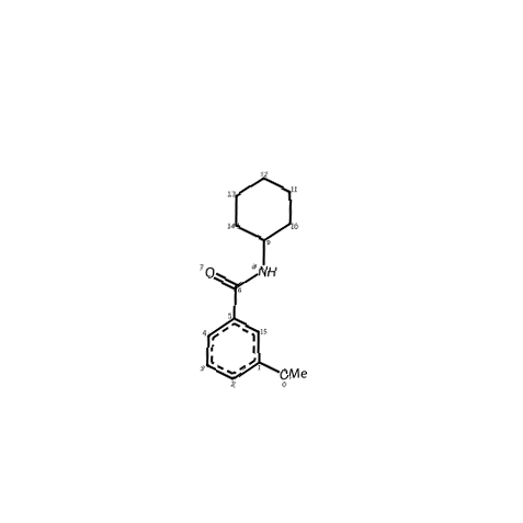 COc1cccc(C(=O)NC2CCCCC2)c1